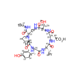 CC(C)C[C@@H]1NC(=O)[C@H](Cc2ccc(O)cc2)NC(=O)[C@@H]2CCCN2[C@H](C(=O)NC(C)(C)C)CNC(=O)[C@H]([C@@H](C)O)NC(=O)[C@H](CC(=O)O)NC1=O